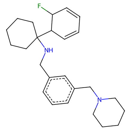 FC1C=CC=CC1C1(NCc2cccc(CN3CCCCC3)c2)CCCCC1